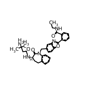 CCNC(=O)c1ccccc1-c1nc2cc(CN3C(=O)[C@H](NC(=O)CC(C)(C)N)CCc4ccccc43)ccc2o1